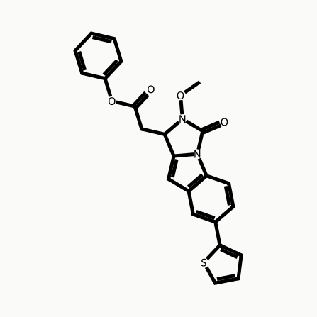 CON1C(=O)n2c(cc3cc(-c4cccs4)ccc32)C1CC(=O)Oc1ccccc1